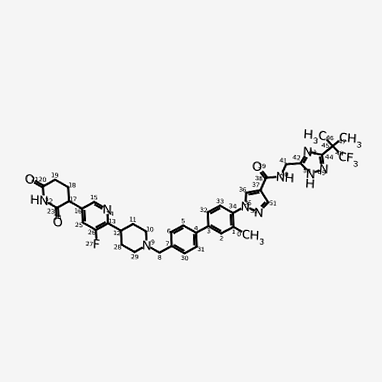 Cc1cc(-c2ccc(CN3CCC(c4ncc(C5CCC(=O)NC5=O)cc4F)CC3)cc2)ccc1-n1cc(C(=O)NCc2nc(C(C)(C)C(F)(F)F)n[nH]2)cn1